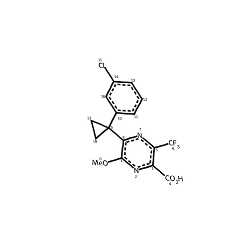 COc1nc(C(=O)O)c(C(F)(F)F)nc1C1(c2cccc(Cl)c2)CC1